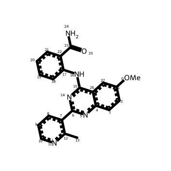 COc1ccc2nc(-c3cccnc3C)nc(Nc3ccccc3C(N)=O)c2c1